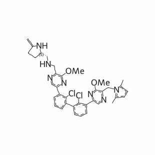 C=C1CC[C@@H](CNCc2ncc(-c3cccc(-c4cccc(-c5cnc(Cn6c(C)ccc6C)c(OC)n5)c4Cl)c3Cl)nc2OC)N1